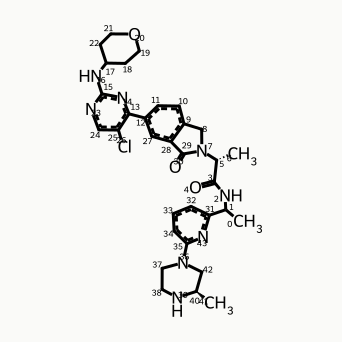 CC(NC(=O)[C@@H](C)N1Cc2ccc(-c3nc(NC4CCOCC4)ncc3Cl)cc2C1=O)c1cccc(N2CCN[C@H](C)C2)n1